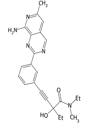 CCN(C)C(=O)C(O)(C#Cc1cccc(-c2ncc3cc(C)nc(N)c3n2)c1)CC